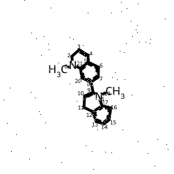 CN1CC=Cc2ccc(C3=CCc4ccccc4N3C)cc21